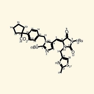 CCCCc1ncc(C=C2C(=O)N(CCCC)C(=O)N2Cc2csc(C)n2)n1Cc1ccc(C2(C(=O)O)CCCC2)cc1